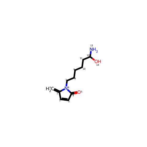 C=C1C=CC(=O)N1CCCCCC(N)O